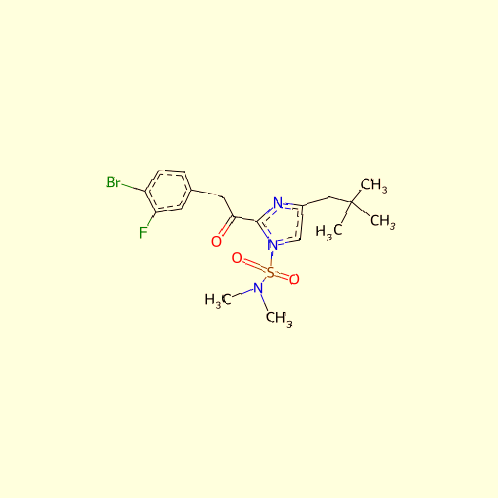 CN(C)S(=O)(=O)n1cc(CC(C)(C)C)nc1C(=O)Cc1ccc(Br)c(F)c1